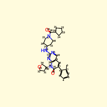 Cc1ccccc1-c1cc2cnc(NC3CCN(C(=O)C4CCCC4)CC3)nc2n([C@@H]2CCOC2)c1=O